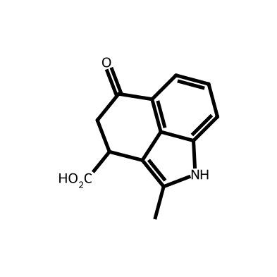 Cc1[nH]c2cccc3c2c1C(C(=O)O)CC3=O